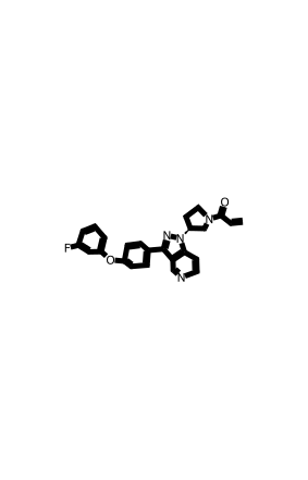 C=CC(=O)N1CC[C@@H](n2nc(-c3ccc(Oc4cccc(F)c4)cc3)c3cnccc32)C1